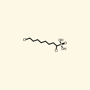 O=P(O)(O)C(Cl)CCCCCCCCl